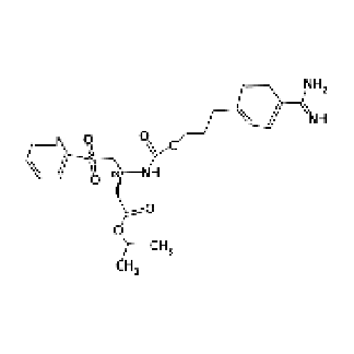 CC(C)OC(=O)C[C@@H](CS(=O)(=O)c1ccccn1)NC(=O)CCCCc1ccc(C(=N)N)cc1